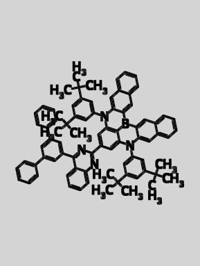 CC(C)(C)c1cc(N2c3cc4ccccc4cc3B3c4cc5ccccc5cc4N(c4cc(C(C)(C)C)cc(C(C)(C)C)c4)c4cc(-c5nc(-c6cc(-c7ccccc7)cc(-c7ccccc7)c6)c6ccccc6n5)cc2c43)cc(C(C)(C)C)c1